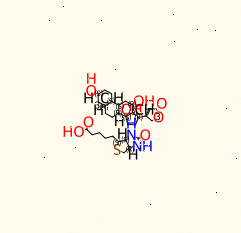 C[C@]12CC[C@H](O)C[C@H]1CC[C@@H]1[C@@H]2C[C@@H](O)[C@]2(C)[C@@H](C3=CC(=O)OC3)CC[C@]12O.O=C(O)CCCC[C@@H]1SC[C@@H]2NC(=O)N[C@@H]21